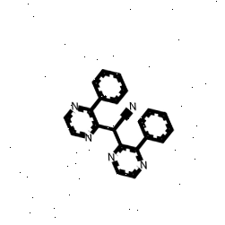 N#CC(c1nccnc1-c1ccccc1)c1nccnc1-c1ccccc1